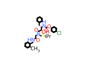 Cc1ccccc1CNC(=O)CN(CSC(C)C)C(=O)[C@@H](O)[C@H](Cc1ccccc1)NC(=O)Oc1ccc(Cl)cc1